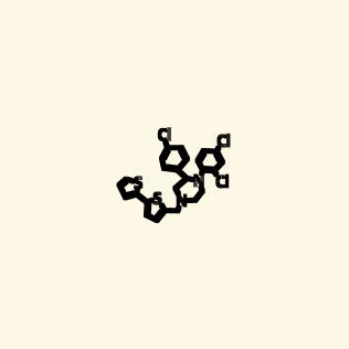 Clc1ccc(C2CN(Cc3ccc(-c4cccs4)s3)CCN2c2ccc(Cl)cc2Cl)cc1